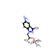 CC(Cn1nc(C#N)c2cc(N)ccc21)O[Si](C)(C)C(C)(C)C